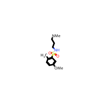 CNCCCNS(=O)(=O)c1cc(OC)ccc1C